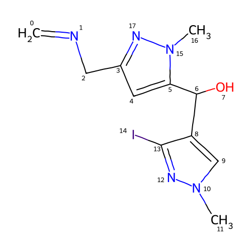 C=NCc1cc(C(O)c2cn(C)nc2I)n(C)n1